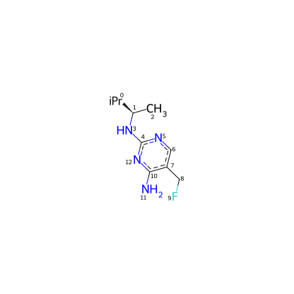 CC(C)[C@@H](C)Nc1ncc(CF)c(N)n1